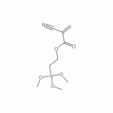 C=C(C#N)C(=O)OCC[Si](OC)(OC)OC